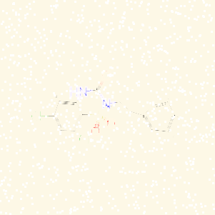 O=C1Nc2cc(Cl)cc(Cl)c2S(=O)(=O)N1CCc1ccccc1